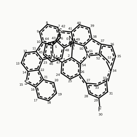 N#Cc1c(-n2c3ccccc3c3ccc4sc5ccccc5c4c32)ccc2c3cc(F)cc(c3)c3ccc4c5ccc6sc7ccccc7c6c5n(c4c3)c12